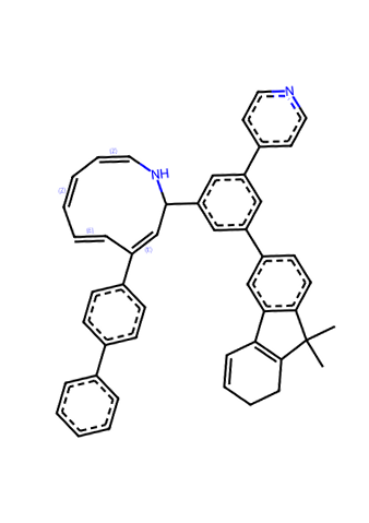 CC1(C)C2=C(C=CCC2)c2cc(-c3cc(-c4ccncc4)cc(C4\C=C(c5ccc(-c6ccccc6)cc5)/C=C/C=C\C=C/N4)c3)ccc21